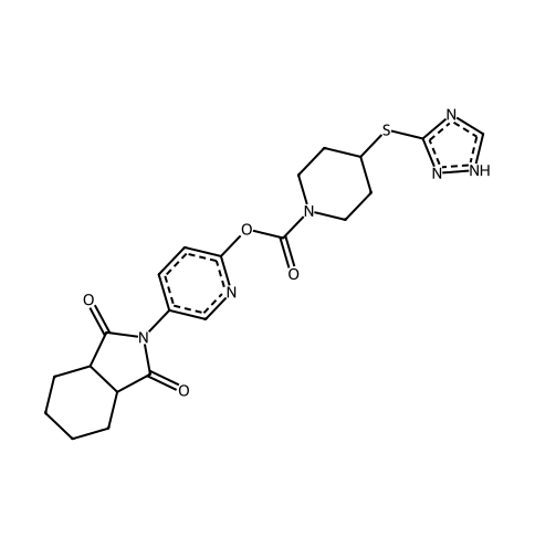 O=C(Oc1ccc(N2C(=O)C3CCCCC3C2=O)cn1)N1CCC(Sc2nc[nH]n2)CC1